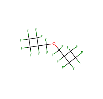 FC(F)(OC(F)(F)C1(F)C(F)(F)C(F)(F)C1(F)F)C1(F)C(F)(F)C(F)(F)C1(F)F